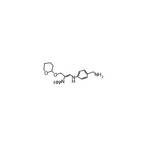 N=N/C(=C\Nc1ccc(CN)cc1)COC1CCCCO1